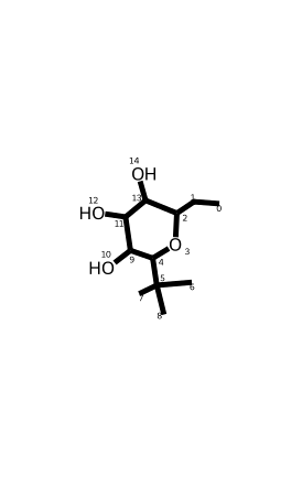 CCC1OC(C(C)(C)C)C(O)C(O)C1O